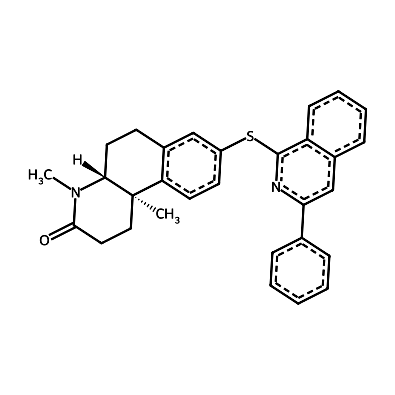 CN1C(=O)CC[C@]2(C)c3ccc(Sc4nc(-c5ccccc5)cc5ccccc45)cc3CC[C@@H]12